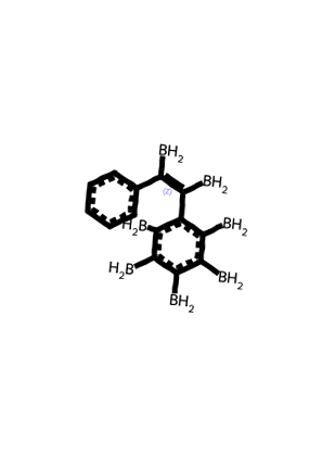 B/C(=C(\B)c1c(B)c(B)c(B)c(B)c1B)c1ccccc1